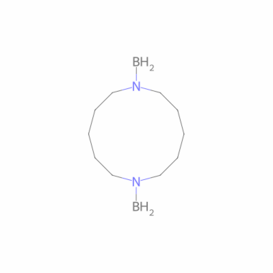 BN1CCCCCN(B)CCCCC1